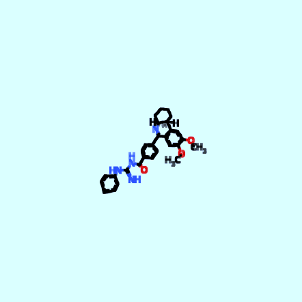 COc1cc2c(cc1OC)[C@H]1CCCC[C@H]1N=C2c1ccc(C(=O)NC(=N)Nc2ccccc2)cc1